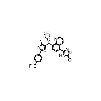 Cc1nc(-c2ccc(C(F)(F)F)cc2)sc1C(OCC(F)(F)F)c1ccc(-c2noc(=O)[nH]2)c2cccnc12